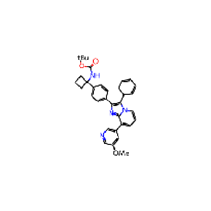 COc1cncc(-c2cccn3c(C4C=CC=CC4)c(-c4ccc(C5(NC(=O)OC(C)(C)C)CCC5)cc4)nc23)c1